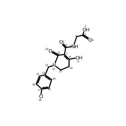 O=C(O)CNC(=O)C1=C(O)CCN(Cc2ccc(Cl)cc2)C1=O